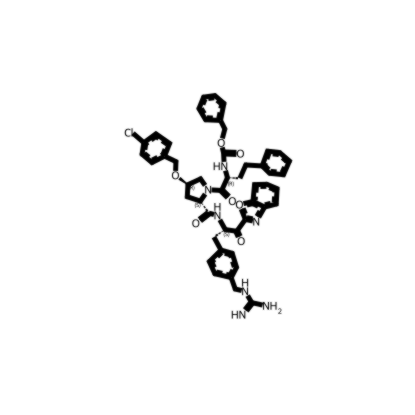 N=C(N)NCc1ccc(C[C@H](NC(=O)[C@@H]2C[C@@H](OCc3ccc(Cl)cc3)CN2C(=O)[C@@H](CCc2ccccc2)NC(=O)OCc2ccccc2)C(=O)c2nc3ccccc3o2)cc1